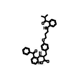 CC(C)C(=O)c1ccccc1NCCCOc1ccc(CC(Nc2ccccc2C(=O)c2ccccc2)C(=O)O)cc1